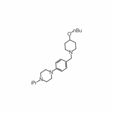 CCCCOC1CCN(Cc2ccc(N3CCN(C(C)C)CC3)cc2)CC1